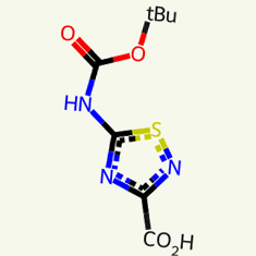 CC(C)(C)OC(=O)Nc1nc(C(=O)O)ns1